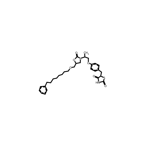 CC(COc1ccc(CC2SC(=O)NC2=O)cc1)N1CC(COCCCCCCCCc2ccccc2)OC1=O